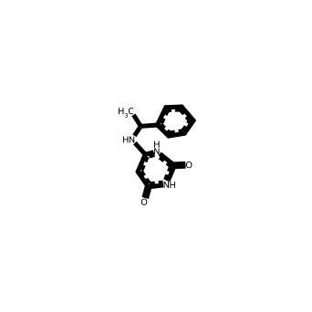 CC(Nc1cc(=O)[nH]c(=O)[nH]1)c1ccccc1